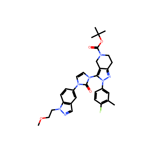 COCCn1ncc2cc(-n3ccn(-c4c5c(nn4-c4ccc(F)c(C)c4)CCN(C(=O)OC(C)(C)C)C5)c3=O)ccc21